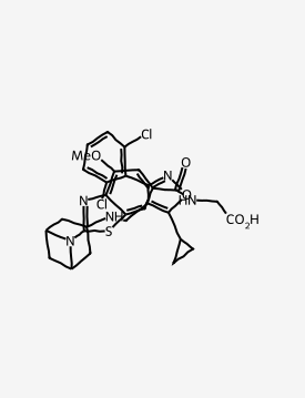 COc1cc(C(=O)NCC(=O)O)cc2sc(N3C4CC(NCc5c(-c6c(Cl)cccc6Cl)noc5C5CC5)CC3C4)nc12